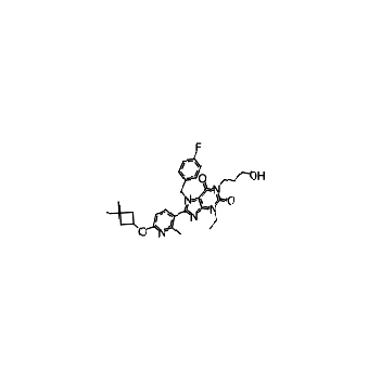 CCn1c(=O)n(CCCO)c(=O)c2c1nc(-c1ccc(OC3CC(C)(C)C3)nc1C)n2Cc1ccc(F)cc1